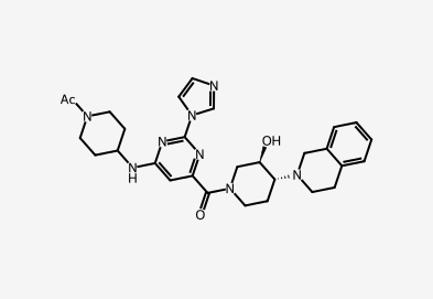 CC(=O)N1CCC(Nc2cc(C(=O)N3CC[C@@H](N4CCc5ccccc5C4)[C@H](O)C3)nc(-n3ccnc3)n2)CC1